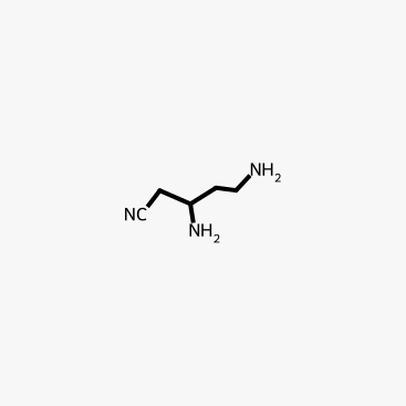 N#CCC(N)CCN